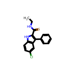 CCNC(=S)c1[nH]c2ccc(Cl)cc2c1-c1ccccc1